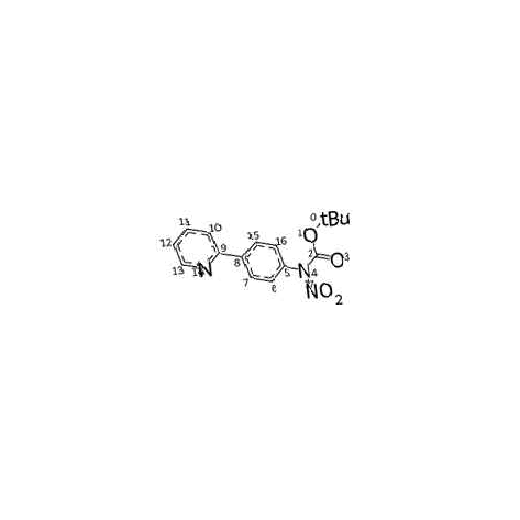 CC(C)(C)OC(=O)N(c1ccc(-c2ccccn2)cc1)[N+](=O)[O-]